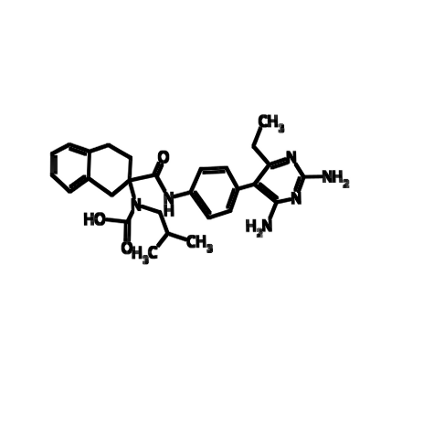 CCc1nc(N)nc(N)c1-c1ccc(NC(=O)C2(N(CC(C)C)C(=O)O)CCc3ccccc3C2)cc1